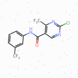 O=C(Nc1cccc(C(F)(F)F)c1)c1cnc(Cl)nc1C(F)(F)F